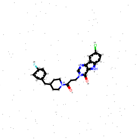 O=C(CCn1cnc2c([nH]c3ccc(Cl)cc32)c1=O)N1CCC(Cc2ccc(F)cc2)CC1